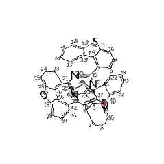 C1=CCC(c2nc(-c3cccc4sc5ccccc5c34)nc(-c3cccc4oc5cccc(-c6ccc7c(c6)oc6ccccc67)c5c34)n2)C=C1